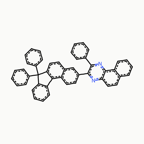 c1ccc(-c2nc3c(ccc4ccccc43)nc2-c2ccc3c4c(ccc3c2)C(c2ccccc2)(c2ccccc2)c2ccccc2-4)cc1